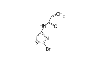 C=CC(=O)Nc1csc(Br)n1